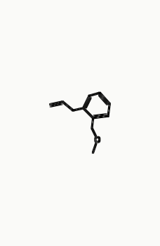 C=CCc1ccccc1COC